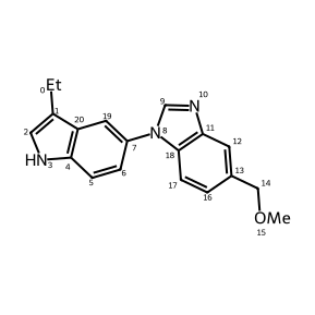 CCc1c[nH]c2ccc(-n3cnc4cc(COC)ccc43)cc12